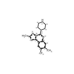 Cc1nc2c3cc(C(F)(F)F)c(C)cc3nc(N3CCNCC3)n2n1